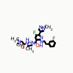 C[C@H](CNC(=O)c1cc(F)c(-c2cnn(C)c2)nc1NCCc1cccc(F)c1)NC(=O)CN(C)C